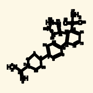 N=C(N)N1CCC(c2ccc(-c3cccc(S(N)(=O)=O)c3-c3nn[nH]n3)cc2)CC1